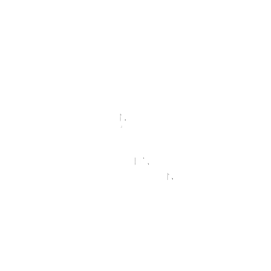 NNC(=S)N1CCC1